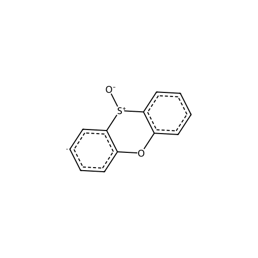 [O-][S+]1c2c[c]ccc2Oc2ccccc21